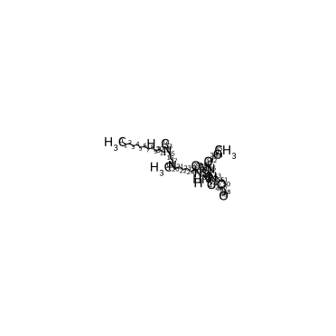 CCCCCCCCCCCCN(CC)CCCN(C)CCCCCC(=O)Nc1nc(OCCOC)nc2c1[nH]c(=O)n2Cc1ccc(C=O)cc1